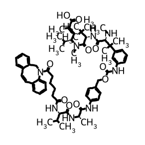 CN[C@@H](C(=O)N[C@H](C(=O)N(C)[C@H](/C=C(\C)C(=O)O)C(C)C)C(C)(C)C)C(C)(C)c1cccc(NC(=O)OCc2ccc(NC(=O)[C@H](C)NC(=O)[C@@H](NC(=O)CCCCC(=O)N3Cc4ccccc4/C=C\c4ccccc43)C(C)C)cc2)c1